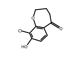 O=C1CCCOc2c1ccc(O)c2Cl